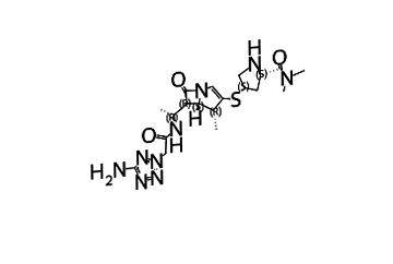 C[C@@H](NC(=O)Cn1nnc(N)n1)[C@H]1C(=O)N2C=C(S[C@@H]3CN[C@H](C(=O)N(C)C)C3)[C@H](C)[C@H]12